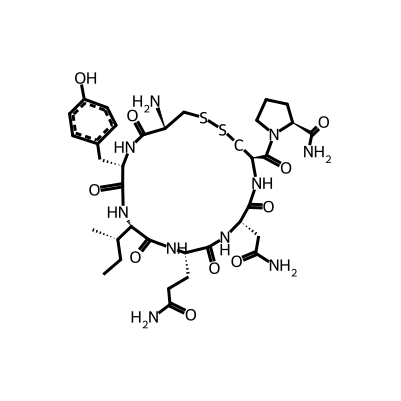 CC[C@H](C)[C@@H]1NC(=O)[C@H](Cc2ccc(O)cc2)NC(=O)[C@@H](N)CSSC[C@@H](C(=O)N2CCC[C@H]2C(N)=O)NC(=O)[C@H](CC(N)=O)NC(=O)[C@H](CCC(N)=O)NC1=O